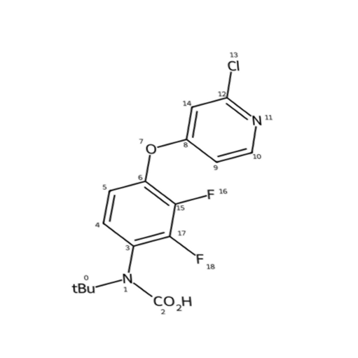 CC(C)(C)N(C(=O)O)c1ccc(Oc2ccnc(Cl)c2)c(F)c1F